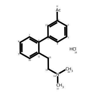 CC(=O)c1cccc(-c2ccccc2CCN(C)C)c1.Cl